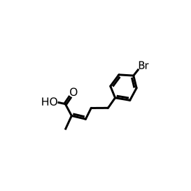 CC(=CCCc1ccc(Br)cc1)C(=O)O